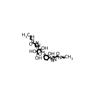 CCCNC(=O)c1cn([C@H]2[C@@H](O)[C@@H](CO)O[C@@H](S[C@@H]3CCC[C@H](n4cc(C(=O)NCCC)nn4)[C@H]3O)[C@@H]2O)nn1